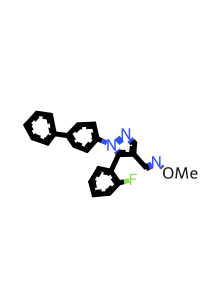 CON=Cc1cnn(-c2ccc(-c3ccccc3)cc2)c1-c1ccccc1F